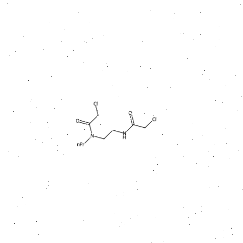 CCCN(CCNC(=O)CCl)C(=O)CCl